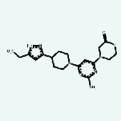 Nc1nc(N2CCC(c3cc(CC(=O)O)[nH]n3)CC2)cc(N2CCOC(=O)C2)n1